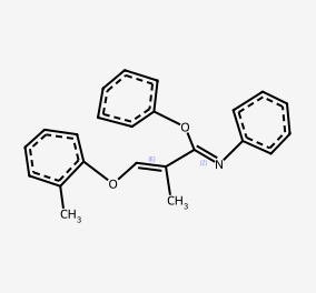 CC(=C\Oc1ccccc1C)/C(=N/c1ccccc1)Oc1ccccc1